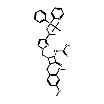 COc1ccc(CN2C(=O)[C@@H](NC(=O)O)[C@@H]2Cn2ncc(C(C)O[Si](c3ccccc3)(c3ccccc3)C(C)(C)C)n2)c(OC)c1